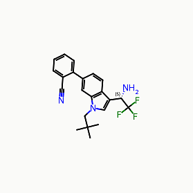 CC(C)(C)Cn1cc([C@H](N)C(F)(F)F)c2ccc(-c3ccccc3C#N)cc21